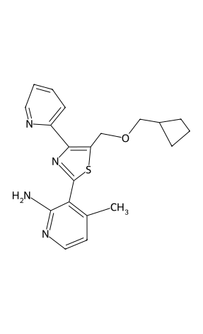 Cc1ccnc(N)c1-c1nc(-c2ccccn2)c(COCC2CCC2)s1